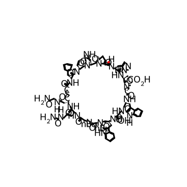 C=C[C@H]1C(=O)N[C@@H](CC(N)=O)C(=O)N2CCC[C@H]2C(=O)N[C@@H](Cc2cnc[nH]2)C(=O)N[C@@H](CC(=O)O)C(=O)N(C)CC(=O)N[C@@H](Cc2c[nH]c3ccccc23)C(=O)N[C@@H](CO)C(=O)N[C@@H](Cc2c[nH]c3ccccc23)C(=O)N(C)[C@@H](CCCC)C(=O)N(C)[C@@H](CCCC)C(=O)N[C@@H](CCCNC(N)=O)C(=O)N[C@H](CC(=O)NCC(N)=O)CSCC(=O)N[C@@H](Cc2ccccc2)C(=O)N1C